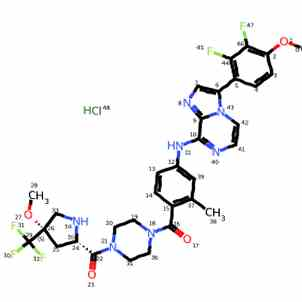 COc1ccc(-c2cnc3c(Nc4ccc(C(=O)N5CCN(C(=O)[C@@H]6C[C@@](OC)(C(F)(F)F)CN6)CC5)c(C)c4)nccn23)c(F)c1F.Cl